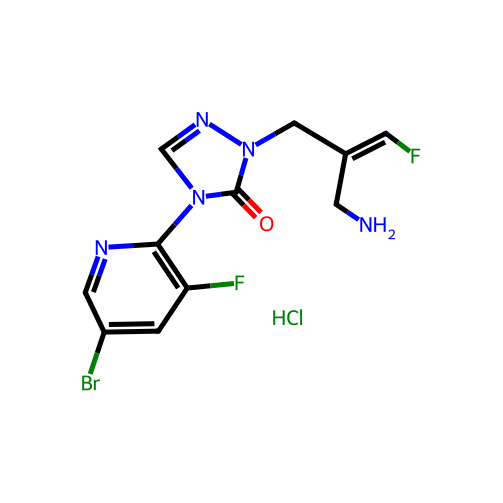 Cl.NC/C(=C\F)Cn1ncn(-c2ncc(Br)cc2F)c1=O